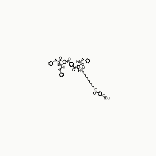 CC(C)(C)Oc1ccc(C(=O)OCCCCCCCCCCCCNC(=O)[C@@H]2CN(C(=O)c3ccc(C(=O)N4C[C@@H](C(=O)N[C@H]5C[C@@H]5c5ccccc5)[C@H](C(=O)N[C@H]5C[C@@H]5c5ccccc5)C4)cc3)C[C@H]2C(=O)N[C@H]2C[C@@H]2c2ccccc2)cc1